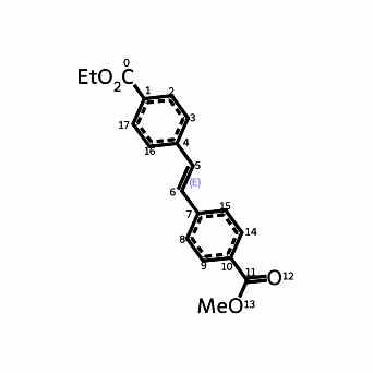 CCOC(=O)c1ccc(/C=C/c2ccc(C(=O)OC)cc2)cc1